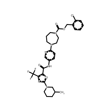 CC1CCCN(c2nc(C(F)(F)F)c(C(=O)Nc3ccc(N4CCCN(C(=O)OCc5ccccc5Cl)CC4)nc3)o2)C1